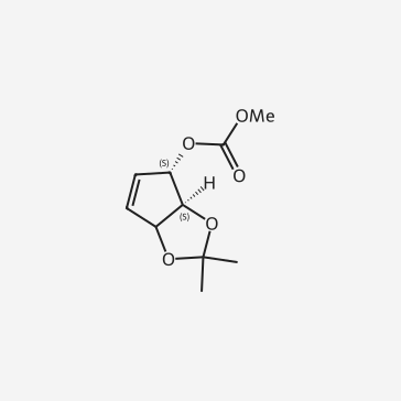 COC(=O)O[C@H]1C=CC2OC(C)(C)O[C@@H]21